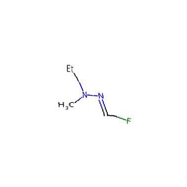 CCN(C)/N=C/F